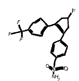 NS(=O)(=O)c1ccc(C2=C(c3ccc(C(F)(F)F)cc3)CC(F)C2)cc1